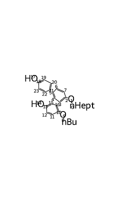 CCCCCCCOc1ccccc1.CCCCOc1ccc(O)cc1.Oc1ccccc1